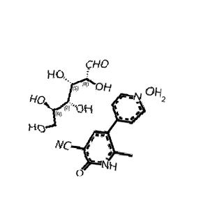 Cc1[nH]c(=O)c(C#N)cc1-c1ccncc1.O.O=C[C@H](O)[C@@H](O)[C@H](O)[C@H](O)CO